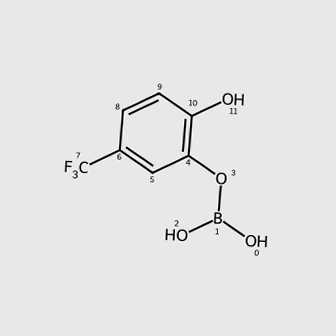 OB(O)Oc1cc(C(F)(F)F)ccc1O